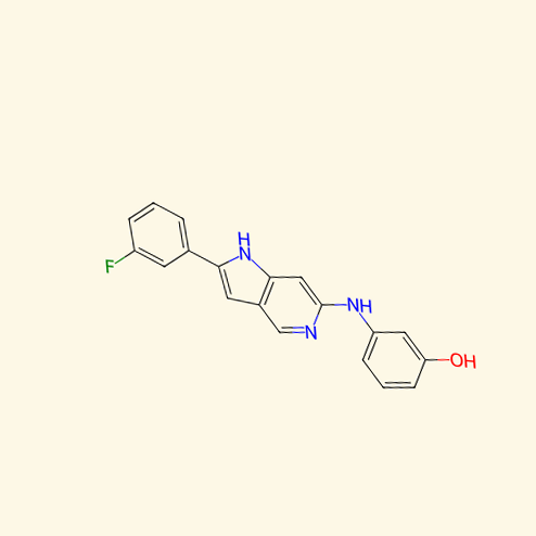 Oc1cccc(Nc2cc3[nH]c(-c4cccc(F)c4)cc3cn2)c1